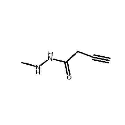 C#CCC(=O)NNC